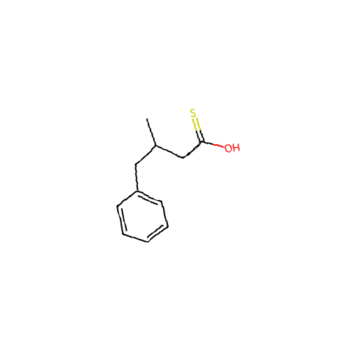 CC(CC(O)=S)Cc1ccccc1